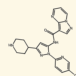 COc1ccc(-n2nc(C3CCNCC3)cc2NC(=O)c2cnn3cccnc23)nc1